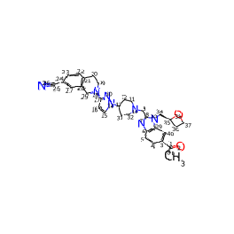 CC(=O)c1ccc2nc(CN3CCC(n4ccc(N5CCc6ccc(C#N)cc6C5)n4)CC3)n(C[C@@H]3CCO3)c2c1